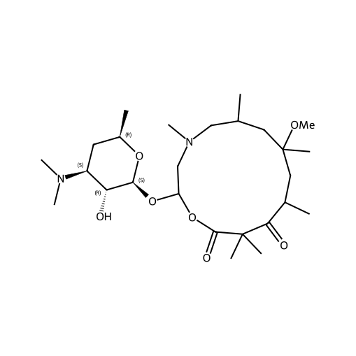 COC1(C)CC(C)CN(C)CC(O[C@@H]2O[C@H](C)C[C@H](N(C)C)[C@H]2O)OC(=O)C(C)(C)C(=O)C(C)C1